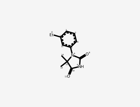 CCc1cccc(N2C(=O)NC(=O)C2(C)C)c1